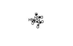 O=[SH](=O)S1([SH](=O)=O)NO1